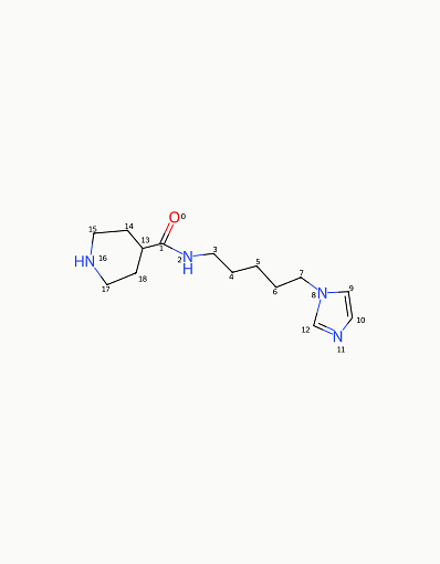 O=C(NCCCCCn1ccnc1)C1CCNCC1